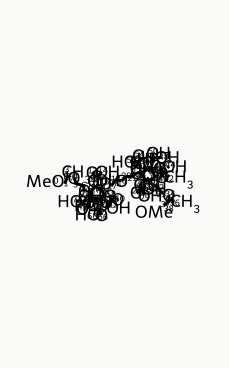 COC[C@@H](C)OCCO[C@@H]1[C@@H](OP(=O)(O)O)[C@@H](OCCOCCO[C@@H]2[C@H](OP(=O)(O)O)[C@@H](OCCO[C@H](C)COC)[C@H](OP(C)(=O)O)[C@@H](O[PH](O)(O)O)[C@@H]2OP(=O)(O)O)[C@@H](OP(=O)(O)O)[C@H](OP(=O)(O)O)[C@H]1OP(=O)(O)O